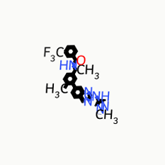 Cc1ccc(C(C)NC(=O)c2cccc(C(F)(F)F)c2)cc1-c1ccc2cnc(Nc3cnn(C)c3)nc2c1